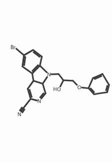 N#CC1=CC2c3cc(Br)ccc3N(CC(O)COc3ccccc3)C2C=N1